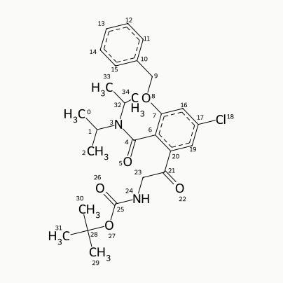 CC(C)N(C(=O)c1c(OCc2ccccc2)cc(Cl)cc1C(=O)CNC(=O)OC(C)(C)C)C(C)C